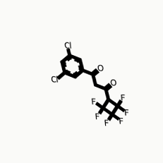 O=C(CC(=O)C1C(F)(F)C(F)(F)C1(F)F)c1cc(Cl)cc(Cl)c1